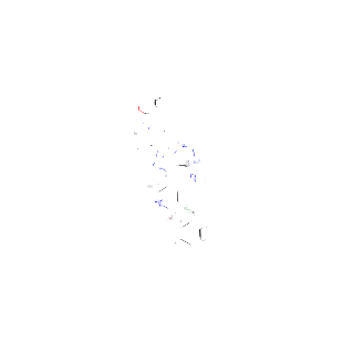 C=CC(=O)N1CCC(n2nc(-c3ccc(Oc4c(F)cccc4F)nc3F)c3c(N)ncnc32)C1